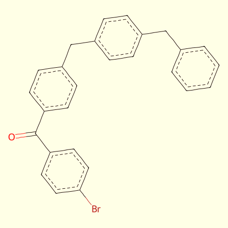 O=C(c1ccc(Br)cc1)c1ccc(Cc2ccc(Cc3ccccc3)cc2)cc1